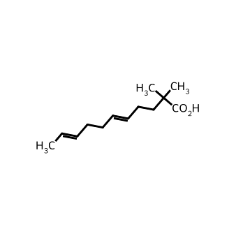 CC=CCCC=CCCC(C)(C)C(=O)O